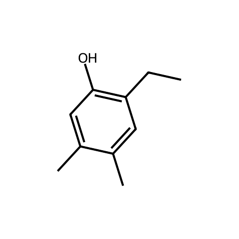 CCc1cc(C)c(C)cc1O